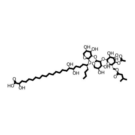 CCCC[C@@H](CCC[C@H](O)[C@@H](O)CCCCCCCCCCCCCC[C@@H](O)C(=O)O)O[C@H]1OC[C@H](O)[C@@H](O)[C@@H]1O[C@H]1OC[C@H](O)[C@@H](O)[C@@H]1O[C@H]1O[C@@H](COC(=O)CC(C)C)[C@H](OC(C)=O)[C@@H](O)[C@@H]1O